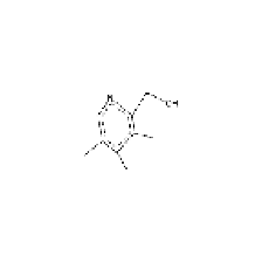 Cc1cnc(CO)c(C)c1C